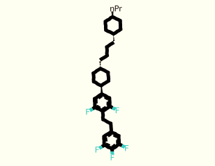 CCC[C@H]1CC[C@H](CCCC[C@H]2CC[C@H](c3cc(F)c(CCc4cc(F)c(F)c(F)c4)c(F)c3)CC2)CC1